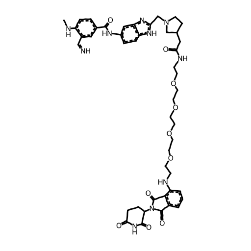 CNc1ccc(C(=O)Nc2ccc3[nH]c(CN4CCC(CC(=O)NCCOCCOCCOCCOCCNc5cccc6c5C(=O)N(C5CCC(=O)NC5=O)C6=O)C4)nc3c2)cc1C=N